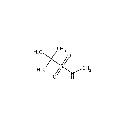 [CH2]NS(=O)(=O)C(C)(C)C